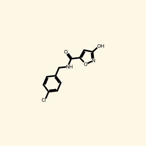 O=C(NCc1ccc(Cl)cc1)c1cc(O)no1